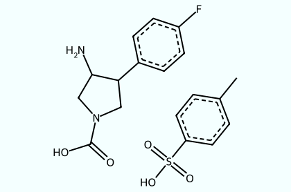 Cc1ccc(S(=O)(=O)O)cc1.NC1CN(C(=O)O)CC1c1ccc(F)cc1